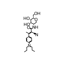 CCCN(CCC)c1ccc(/C(C)=C(\C#N)C(=O)N[C@H]2CO[C@H](CO)[C@@H](O)[C@@H]2O)cc1